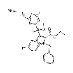 CCOC(=O)c1c(P(=O)(OC)c2cc(C)cc(/C=C/C#N)c2)c2cc(I)ccc2n1Sc1ccccc1